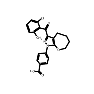 Cc1cccc(Cl)c1C(=O)c1nn(-c2ccc(C(=O)O)cc2)c2c1CCCCO2